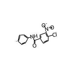 O=C(Nc1cc[c]cc1)c1ccc(Cl)c([N+](=O)[O-])c1